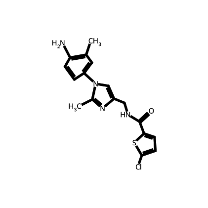 Cc1cc(-n2cc(CNC(=O)c3ccc(Cl)s3)nc2C)ccc1N